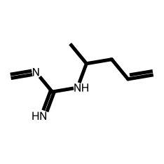 C=CCC(C)NC(=N)N=C